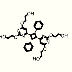 OCCOc1cc([C@H]2[C@H](c3ccccc3)[C@@H](c3cc(OCCO)nc(OCCO)n3)[C@H]2c2ccccc2)nc(OCCO)n1